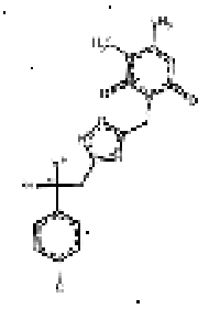 [2H][C@@](O)(Cc1noc(Cn2c(=O)cc(C)n(C)c2=O)n1)c1ccc(Cl)cc1